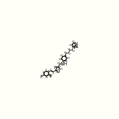 Fc1ccc(C=Cc2nc(CNc3ccc(CCCCn4ccnn4)cc3)co2)c(F)c1